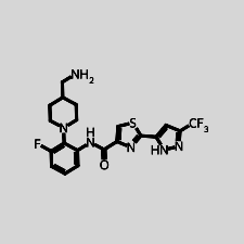 NCC1CCN(c2c(F)cccc2NC(=O)c2csc(-c3cc(C(F)(F)F)n[nH]3)n2)CC1